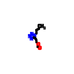 CCCCn1nnnc1CCOC=O